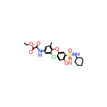 CCOC(=O)C(=O)Nc1cc(C)c(Oc2ccc(O)c(S(=O)(=O)NC3CCCCC3)c2)c(Cl)c1